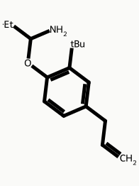 C=CCc1ccc(OC(N)[CH]C)c(C(C)(C)C)c1